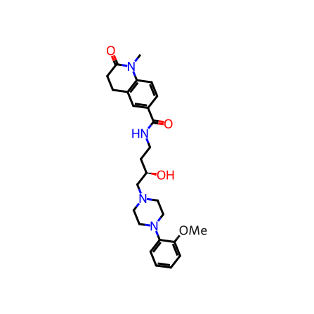 COc1ccccc1N1CCN(C[C@H](O)CCNC(=O)c2ccc3c(c2)CCC(=O)N3C)CC1